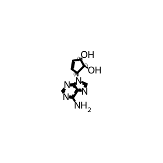 Nc1ncnc2c1ncn2[C@@H]1C=C[C@H](O)[C@H]1O